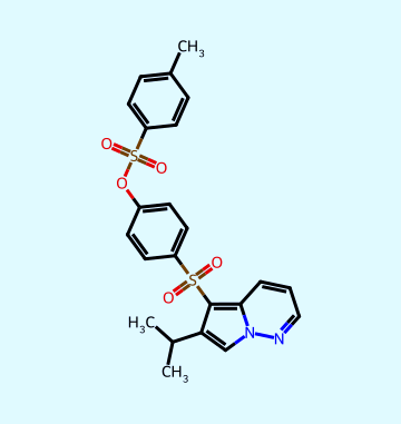 Cc1ccc(S(=O)(=O)Oc2ccc(S(=O)(=O)c3c(C(C)C)cn4ncccc34)cc2)cc1